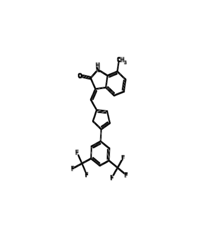 Cc1cccc2c1NC(=O)/C2=C/C1=CC=C(c2cc(C(F)(F)F)cc(C(F)(F)F)c2)C1